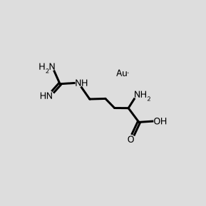 N=C(N)NCCCC(N)C(=O)O.[Au]